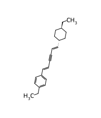 CCc1ccc(/C=C/C#C/C=C/[C@H]2CC[C@H](CC)CC2)cc1